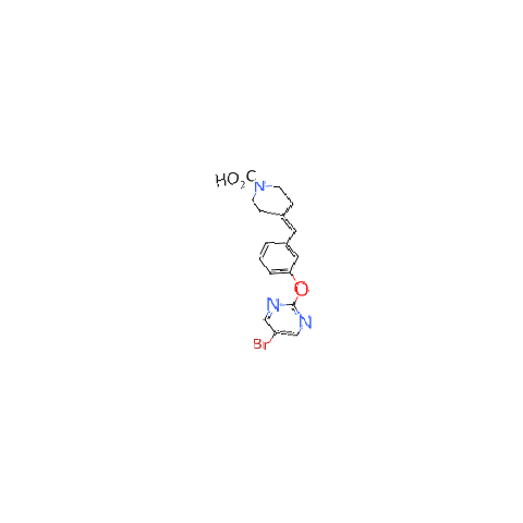 O=C(O)N1CCC(=Cc2cccc(Oc3ncc(Br)cn3)c2)CC1